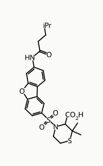 CC(C)CCC(=O)Nc1ccc2c(c1)oc1ccc(S(=O)(=O)N3CCSC(C)(C)C3C(=O)O)cc12